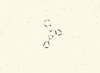 COc1ccc(-c2nc3c4cc(F)ccc4nc(Nc4cnccnc4=O)n3n2)cc1